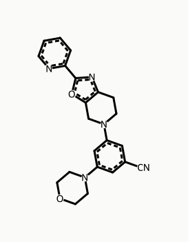 N#Cc1cc(N2CCOCC2)cc(N2CCc3nc(-c4ccccn4)oc3C2)c1